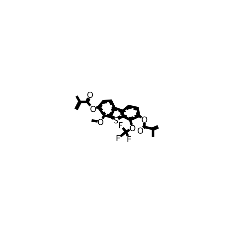 C=C(C)C(=O)Oc1ccc2c(sc3c(OC(F)(F)F)c(OC(=O)C(=C)C)ccc32)c1OC